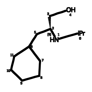 CC(C)N[C@@H](CO)CC1CCCCC1